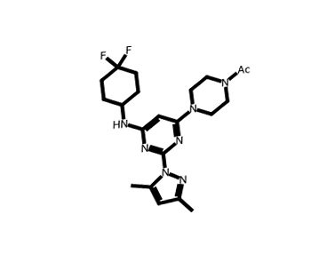 CC(=O)N1CCN(c2cc(NC3CCC(F)(F)CC3)nc(-n3nc(C)cc3C)n2)CC1